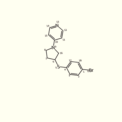 Brc1ccc(SC2CCN(c3ccncc3)C2)cc1